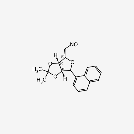 CC1(C)O[C@@H]2[C@@H](CN=O)OC(c3cccc4ccccc34)[C@@H]2O1